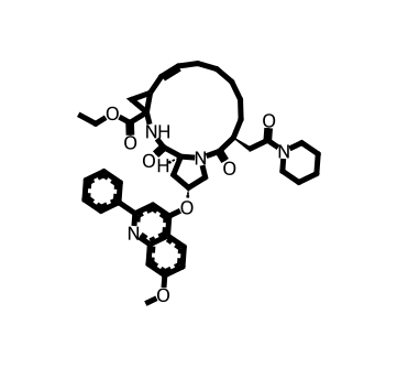 CCOC(=O)C12CC1/C=C\CCCCC[C@@H](CC(=O)N1CCCCC1)C(=O)N1C[C@H](Oc3cc(-c4ccccc4)nc4cc(OC)ccc34)C[C@H]1C(=O)N2